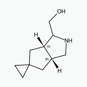 OCC1NC[C@@H]2CC3(CC3)C[C@H]12